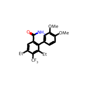 CCc1cc(C(N)=O)c(-c2ccc(OC)c(OC)c2)c(CC)c1C(F)(F)F